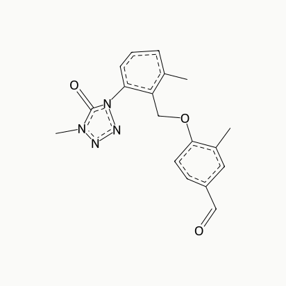 Cc1cc(C=O)ccc1OCc1c(C)cccc1-n1nnn(C)c1=O